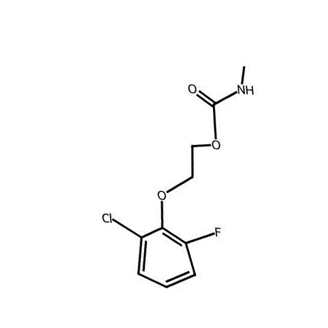 CNC(=O)OCCOc1c(F)cccc1Cl